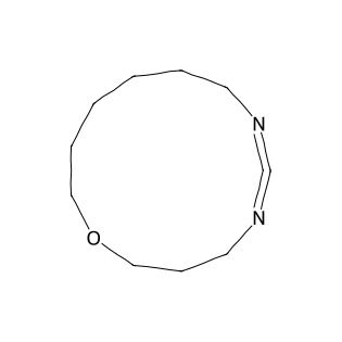 C1=NCCCCCCOCCCN=1